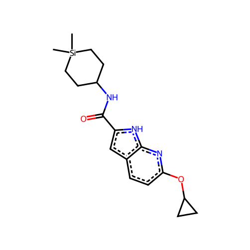 C[Si]1(C)CCC(NC(=O)c2cc3ccc(OC4CC4)nc3[nH]2)CC1